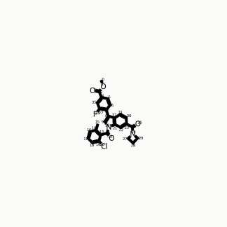 COC(=O)c1ccc(-c2cn(C(=O)c3c(C)cccc3Cl)c3cc(C(=O)N4CCC4)ccc23)c(F)c1